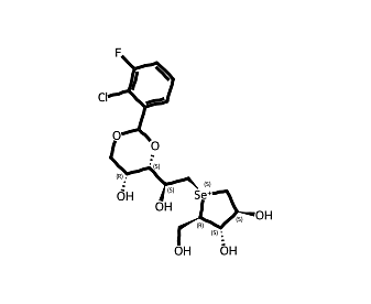 OC[C@@H]1[C@@H](O)[C@H](O)C[Se@+]1C[C@@H](O)[C@H]1OC(c2cccc(F)c2Cl)OC[C@H]1O